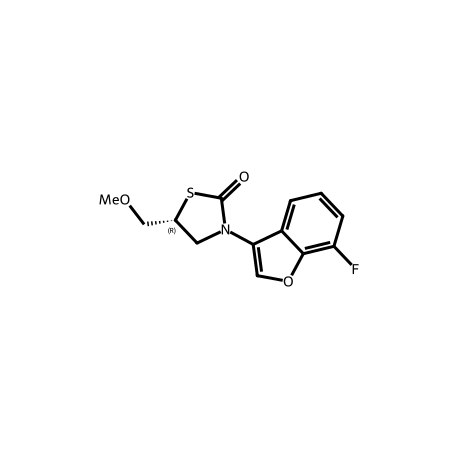 COC[C@H]1CN(c2coc3c(F)cccc23)C(=O)S1